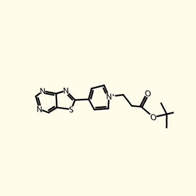 CC(C)(C)OC(=O)CC[n+]1ccc(-c2nc3ncncc3s2)cc1